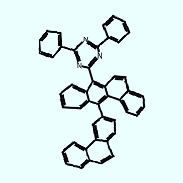 c1ccc(-c2nc(-c3ccccc3)nc(-c3c4ccccc4c(-c4ccc5ccc6ccccc6c5c4)c4c3ccc3ccccc34)n2)cc1